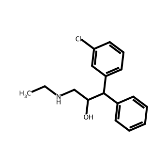 CCNCC(O)C(c1ccccc1)c1cccc(Cl)c1